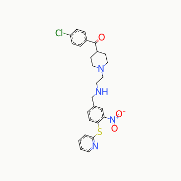 O=C(c1ccc(Cl)cc1)C1CCN(CCNCc2ccc(Sc3ccccn3)c([N+](=O)[O-])c2)CC1